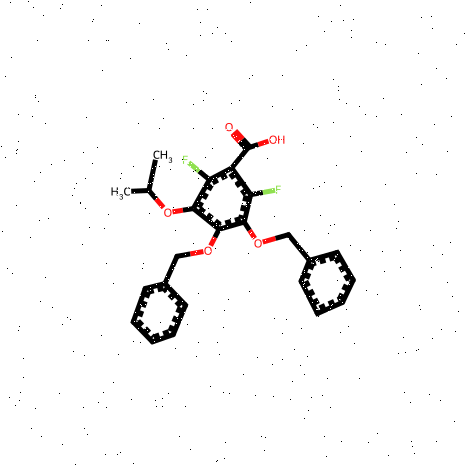 CC(C)Oc1c(F)c(C(=O)O)c(F)c(OCc2ccccc2)c1OCc1ccccc1